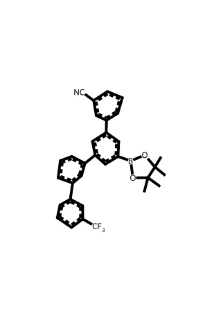 CC1(C)OB(c2cc(-c3cccc(C#N)c3)cc(-c3cccc(-c4cccc(C(F)(F)F)c4)c3)c2)OC1(C)C